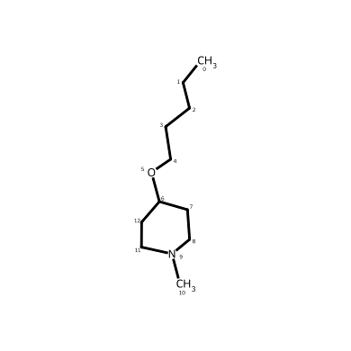 CCCCCOC1CCN(C)CC1